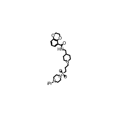 CC(C)N1CCN(S(=O)(=O)CCCN2CCC(CNC(=O)c3cccc4c3OCCO4)CC2)CC1